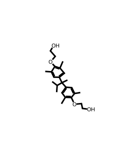 Cc1cc(C(C)(c2cc(C)c(OCCO)c(C)c2)C(C)C)cc(C)c1OCCO